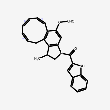 CC1CN(C(=O)c2cc3ccccc3[nH]2)c2cc(OC=O)c3c(c21)C\C=C/C=C\C=C/3